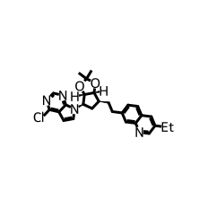 CCc1cnc2cc(CC[C@H]3C[C@@H](n4ccc5c(Cl)ncnc54)[C@@H]4OC(C)(C)O[C@H]34)ccc2c1